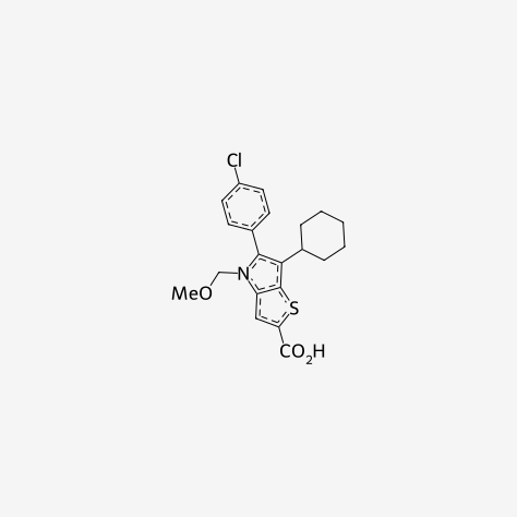 COCn1c(-c2ccc(Cl)cc2)c(C2CCCCC2)c2sc(C(=O)O)cc21